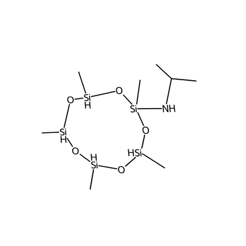 CC(C)N[Si]1(C)O[SiH](C)O[SiH](C)O[SiH](C)O[SiH](C)O1